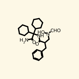 NC(=O)C(NC(=O)C(Cc1ccccc1)CN(O)C=O)(C1CCCCC1)C1CCCCC1